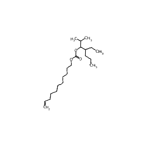 C=CCCCCCCCCCOC(=O)OC(C(C)C)C(CC)CCC